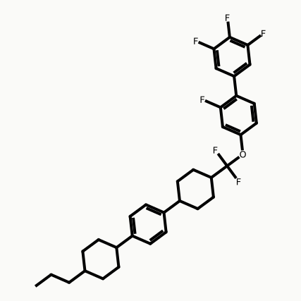 CCCC1CCC(c2ccc(C3CCC(C(F)(F)Oc4ccc(-c5cc(F)c(F)c(F)c5)c(F)c4)CC3)cc2)CC1